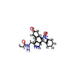 CCC(=O)NCC1=c2c(c3c(c4c2=CC(=O)C4)[N+](=O)C2=C3CCCC2)C=N1